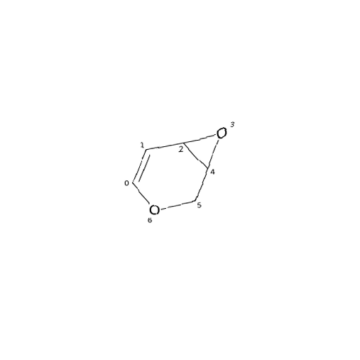 C1=CC2OC2CO1